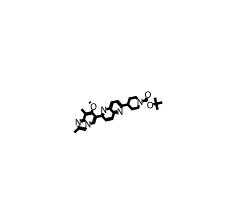 COc1c(-c2ccc3nc(C4CCN(C(=O)OC(C)(C)C)CC4)ccc3n2)cn2cc(C)nc2c1C